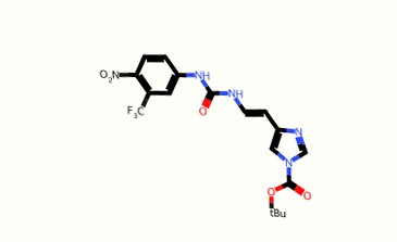 CC(C)(C)OC(=O)n1cnc(/C=C/NC(=O)Nc2ccc([N+](=O)[O-])c(C(F)(F)F)c2)c1